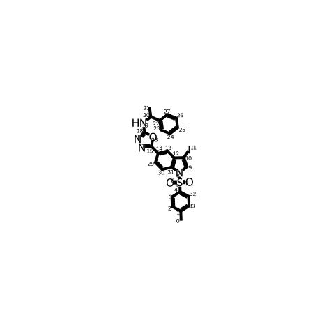 Cc1ccc(S(=O)(=O)n2cc(I)c3cc(-c4nnc(NC(C)c5ccccc5)o4)ccc32)cc1